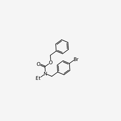 CCN(Cc1ccc(Br)cc1)C(=O)OCc1ccccc1